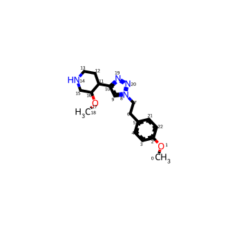 COc1ccc(CCn2cc(C3CCNCC3OC)nn2)cc1